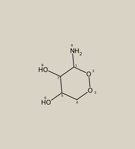 NC1OOCC(O)C1O